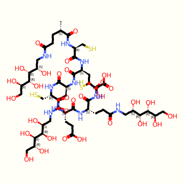 C[C@@H](CCC(=O)NC[C@H](O)[C@@H](O)[C@H](O)[C@H](O)CO)C(=O)N[C@@H](CS)C(=O)N[C@@H](CCC(=O)O)C(=O)N[C@@H](CCC(=O)NC[C@H](O)[C@@H](O)[C@H](O)[C@H](O)CO)C(=O)N[C@@H](CS)C(=O)N[C@@H](CCC(=O)O)C(=O)N[C@@H](CCC(=O)NC[C@H](O)[C@@H](O)[C@H](O)[C@H](O)CO)C(=O)N[C@@H](CS)C(=O)O